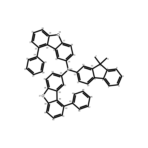 CC1(C)c2ccccc2-c2ccc(N(c3ccc4oc5cccc(-c6ccccc6)c5c4c3)c3ccc4oc5cccc(-c6ccccc6)c5c4c3)cc21